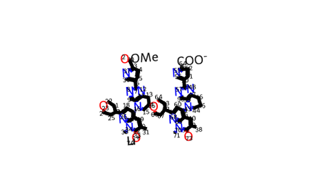 COC(=O)c1ccc(-c2ncc3c(n2)CCCN3c2cc(C3CCOCC3)nc3c2cc(C)c(=O)n3C)cn1.Cc1cc2c(N3CCCc4nc(-c5ccc(C(=O)[O-])nc5)ncc43)cc(C3CCOCC3)nc2n(C)c1=O.[Li+]